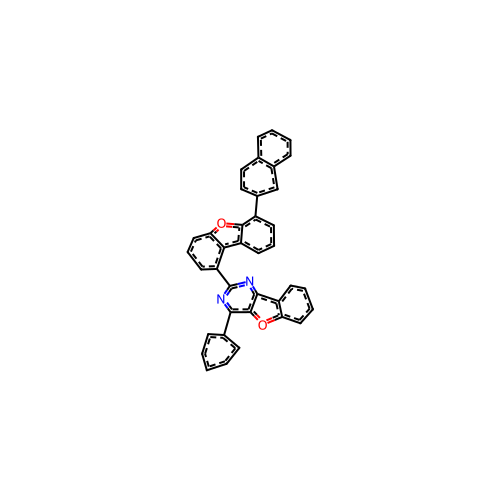 c1ccc(-c2nc(-c3cccc4oc5c(-c6ccc7ccccc7c6)cccc5c34)nc3c2oc2ccccc23)cc1